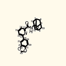 O=C(NC12CC3CC(CC(C3)C1)C2)c1cccc(-c2ccc3c(c2)OCO3)n1